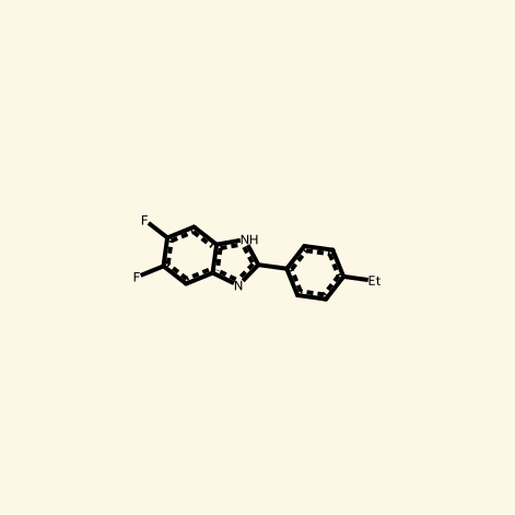 CCc1ccc(-c2nc3cc(F)c(F)cc3[nH]2)cc1